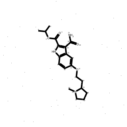 CC(C)OC(=O)c1[nH]c2ccc(OCCC3CCCN3C)cc2c1C(N)=O